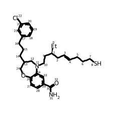 CC[C@@H](C/C=C/CCCS)CCN1CC(CCCc2cccc(Cl)c2)COc2ccc(C(N)=O)cc21